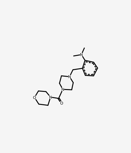 CN(C)c1ccccc1CN1CCN(C(=O)N2CCOCC2)CC1